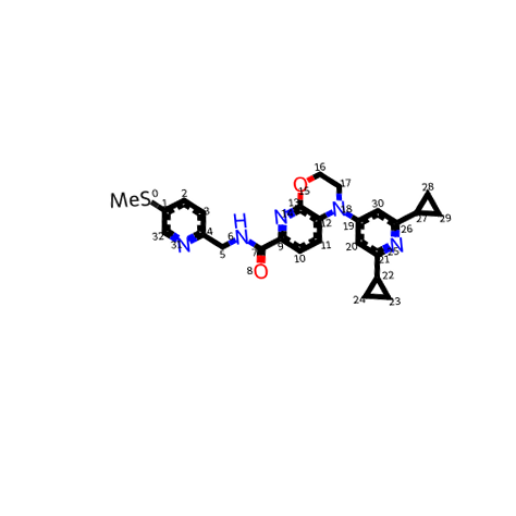 CSc1ccc(CNC(=O)c2ccc3c(n2)OCCN3c2cc(C3CC3)nc(C3CC3)c2)nc1